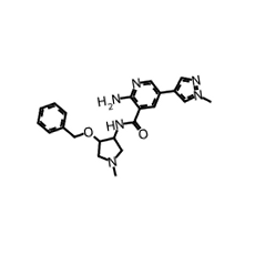 CN1CC(NC(=O)c2cc(-c3cnn(C)c3)cnc2N)C(OCc2ccccc2)C1